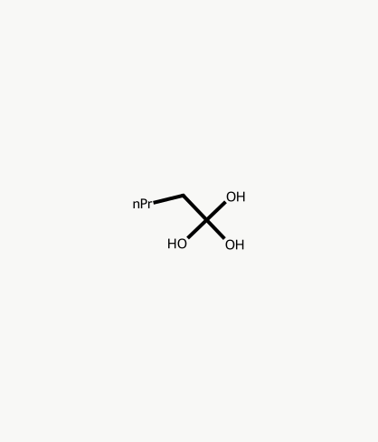 [CH2]CCCC(O)(O)O